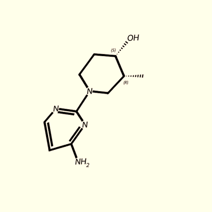 C[C@@H]1CN(c2nccc(N)n2)CC[C@@H]1O